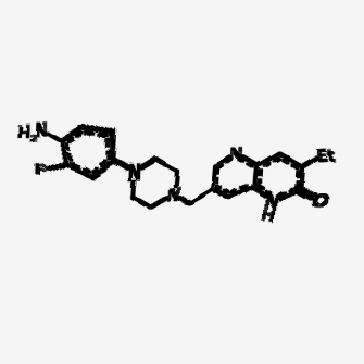 CCc1cc2ncc(CN3CCN(c4ccc(N)c(F)c4)CC3)cc2[nH]c1=O